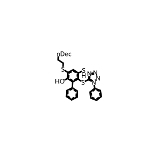 CCCCCCCCCCCCSc1cc(S)c(Sc2nnnn2-c2ccccc2)c(-c2ccccc2)c1O